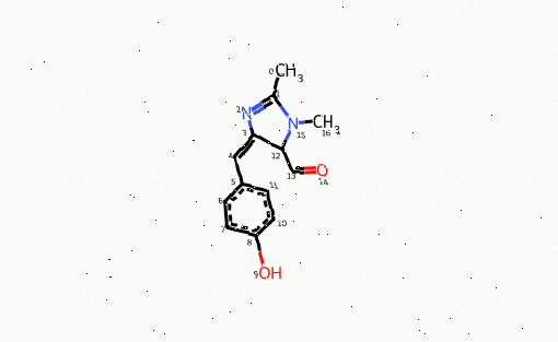 CC1=NC(=Cc2ccc(O)cc2)C(C=O)N1C